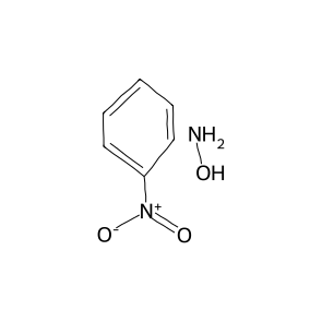 NO.O=[N+]([O-])c1ccccc1